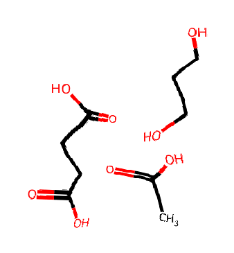 CC(=O)O.O=C(O)CCC(=O)O.OCCCO